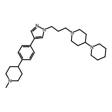 CN1CCC(c2ccc(-c3cnn(CCCN4CCC(N5CCCCC5)CC4)c3)cc2)CC1